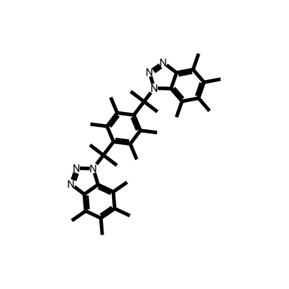 Cc1c(C)c(C(C)(C)n2nnc3c(C)c(C)c(C)c(C)c32)c(C)c(C)c1C(C)(C)n1nnc2c(C)c(C)c(C)c(C)c21